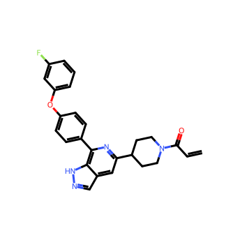 C=CC(=O)N1CCC(c2cc3cn[nH]c3c(-c3ccc(Oc4cccc(F)c4)cc3)n2)CC1